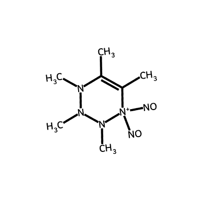 CC1=C(C)[N+](N=O)(N=O)N(C)N(C)N1C